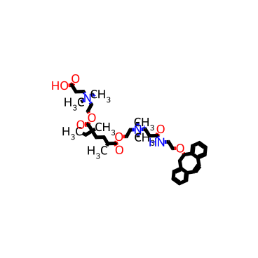 CCC(C)(CCC(C)C(=O)OCC[N+](C)(C)CCC(=O)NCCOC1Cc2ccccc2C#Cc2ccccc21)C(=O)OCC[N+](C)(C)CCC(=O)O